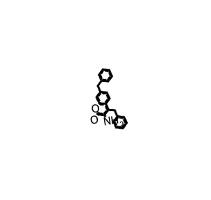 Nc1c(Cc2ccccc2)c2ccc(Cc3ccccc3)cc2oc1=O